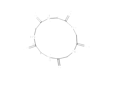 O=C1CNC(=O)CNC(=O)CNC(=O)CNC(=O)CN1